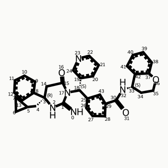 N=C1N[C@@](CC2CC2)(c2ccccc2)CC(=O)N1[C@H](c1cccnc1)c1cccc(C(=O)N[C@H]2CCOc3ccccc32)c1